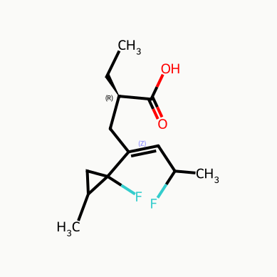 CC[C@H](C/C(=C/C(C)F)C1(F)CC1C)C(=O)O